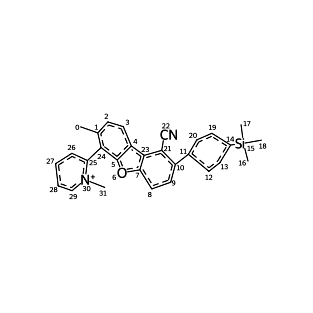 Cc1ccc2c(oc3ccc(-c4ccc([Si](C)(C)C)cc4)c(C#N)c32)c1-c1cccc[n+]1C